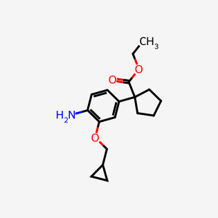 CCOC(=O)C1(c2ccc(N)c(OCC3CC3)c2)CCCC1